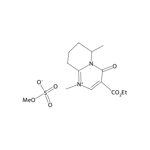 CCOC(=O)c1c[n+](C)c2n(c1=O)C(C)CCC2.COS(=O)(=O)[O-]